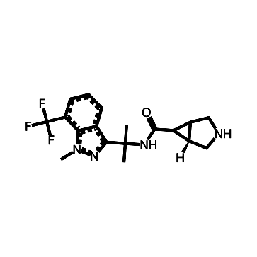 Cn1nc(C(C)(C)NC(=O)C2C3CNC[C@@H]32)c2cccc(C(F)(F)F)c21